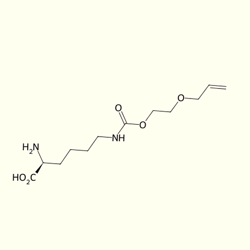 C=CCOCCOC(=O)NCCCC[C@H](N)C(=O)O